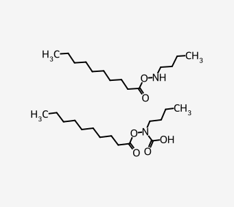 CCCCCCCCCC(=O)ON(CCCC)C(=O)O.CCCCCCCCCC(=O)ONCCCC